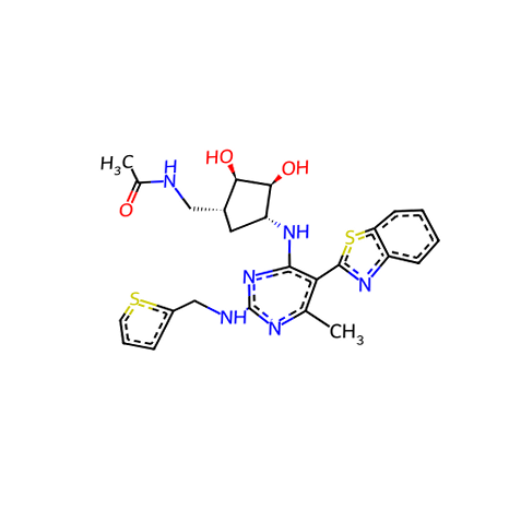 CC(=O)NC[C@H]1C[C@@H](Nc2nc(NCc3cccs3)nc(C)c2-c2nc3ccccc3s2)[C@H](O)[C@@H]1O